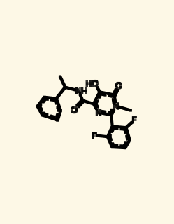 CC(NC(=O)c1nc(-c2c(F)cccc2F)n(C)c(=O)c1O)c1ccccc1